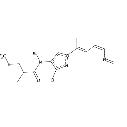 C=N/C=C\C=C(/C)n1cc(N(CC)C(=O)C(C)CSC(F)(F)F)c(Cl)n1